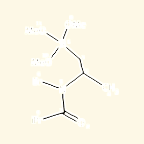 CO[Si](CC(C)N(Br)C(=O)C(C)C)(OC)OC